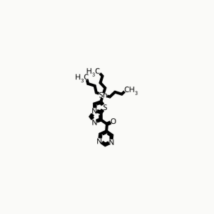 CCC[CH2][Sn]([CH2]CCC)([CH2]CCC)[c]1cn2cnc(C(=O)c3cncnc3)c2s1